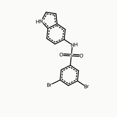 O=S(=O)(Nc1ccc2[nH]ccc2c1)c1cc(Br)cc(Br)c1